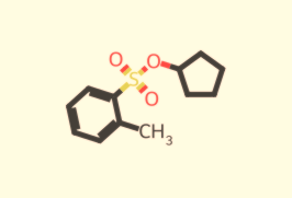 Cc1ccccc1S(=O)(=O)OC1CCCC1